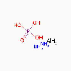 N.N.O=P(O)(O)O.[AlH3]